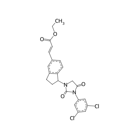 CCOC(=O)/C=C/c1ccc2c(c1)CCC2N1CC(=O)N(c2cc(Cl)cc(Cl)c2)C1=O